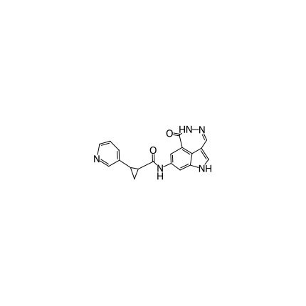 O=C1NN=Cc2c[nH]c3cc(NC(=O)C4CC4c4cccnc4)cc1c23